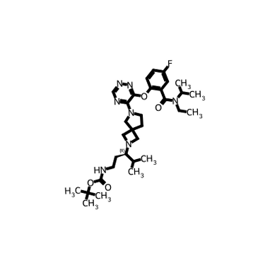 CCN(C(=O)c1cc(F)ccc1Oc1nncnc1N1CCC2(C1)CN([C@H](CCNC(=O)OC(C)(C)C)C(C)C)C2)C(C)C